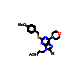 CCc1nc2c(N3CCOCC3)nc(SCc3ccc(OC)cc3)nc2n1CCNC(C)=O